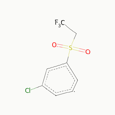 O=S(=O)(CC(F)(F)F)c1c[c]cc(Cl)c1